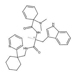 CN(C)C1(C(=O)N[C@@](C)(Cc2c[nH]c3ccccc23)C(=O)NCC2(c3ccccn3)CCCCC2)C=CC=CC1